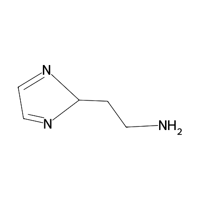 NCCC1N=CC=N1